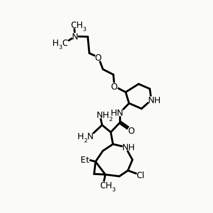 CCC12CC(C(C(=O)NC3CNCCC3OCCOCCN(C)C)C(N)N)NCC(Cl)CC1(C)C2